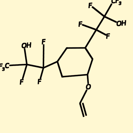 C=COC1CC(C(F)(F)C(O)(F)C(F)(F)F)CC(C(F)(F)C(O)(F)C(F)(F)F)C1